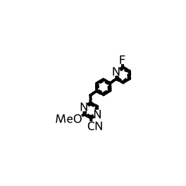 COc1nc(Cc2ccc(-c3cccc(F)n3)cc2)cnc1C#N